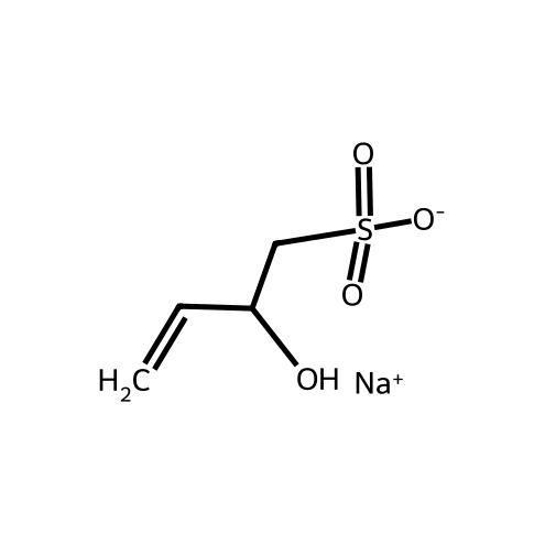 C=CC(O)CS(=O)(=O)[O-].[Na+]